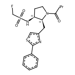 CC(C)C(=O)N1CC[C@H](NS(=O)(=O)CF)[C@@H]1Cc1csc(-c2ccccc2)n1